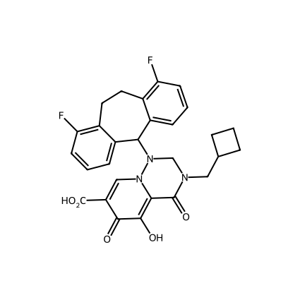 O=C(O)c1cn2c(c(O)c1=O)C(=O)N(CC1CCC1)CN2C1c2cccc(F)c2CCc2c(F)cccc21